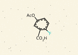 CC(=O)Oc1ccc(F)c(C(=O)O)c1